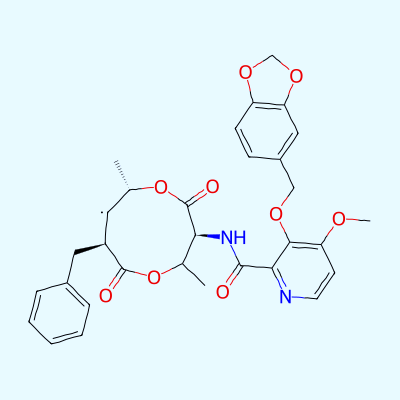 COc1ccnc(C(=O)N[C@@H]2C(=O)O[C@@H](C)[CH][C@H](Cc3ccccc3)C(=O)OC2C)c1OCc1ccc2c(c1)OCO2